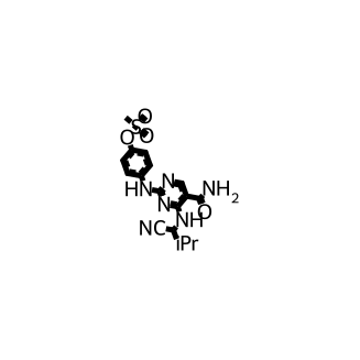 CC(C)C(C#N)Nc1nc(Nc2ccc(OS(C)(=O)=O)cc2)ncc1C(N)=O